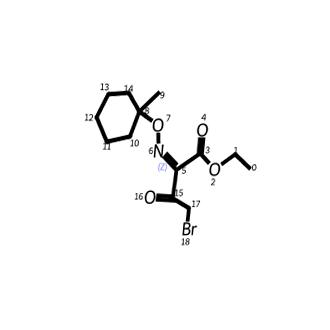 CCOC(=O)/C(=N\OC1(C)CCCCC1)C(=O)CBr